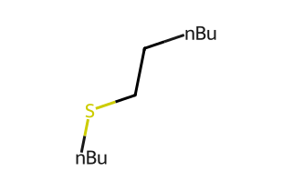 [CH2]CCCSCCCCCC